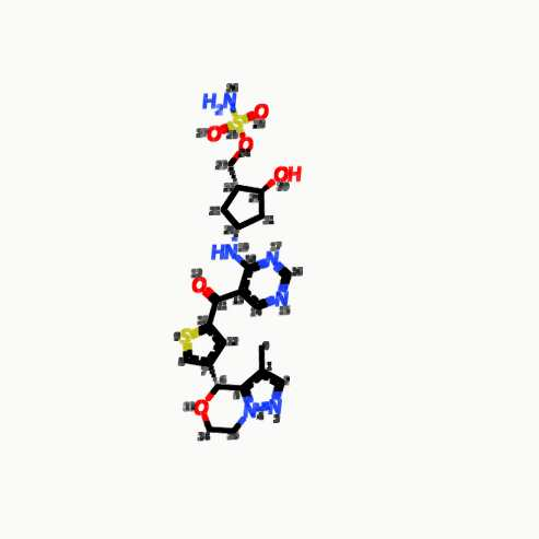 Cc1cnn2c1[C@@H](c1csc(C(=O)c3cncnc3N[C@@H]3C[C@H](COS(N)(=O)=O)[C@@H](O)C3)c1)OCC2